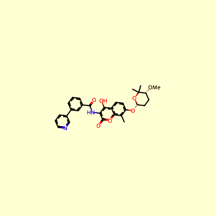 CO[C@@H]1CC[C@H](Oc2ccc3c(O)c(NC(=O)c4cccc(-c5cccnc5)c4)c(=O)oc3c2C)OC1(C)C